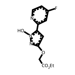 CCOC(=O)COc1cc(-c2cc(F)ccn2)n(O)n1